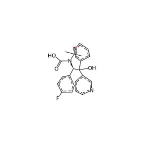 CC(C)(C)N(C(=O)O)[C@H](c1ccc(F)cc1)C(O)(c1cccnc1)c1cccnc1